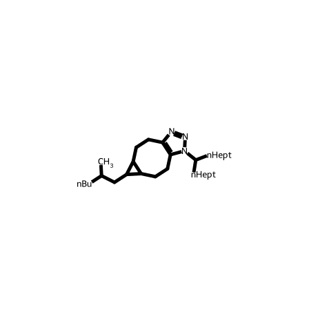 CCCCCCCC(CCCCCCC)n1nnc2c1CCC1C(CC2)C1CC(C)CCCC